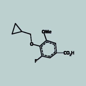 COc1cc(C(=O)O)cc(F)c1OCC1CC1